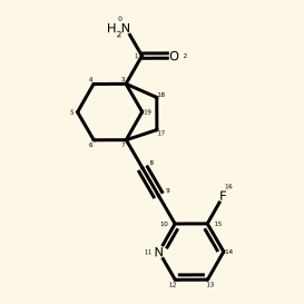 NC(=O)C12CCCC(C#Cc3ncccc3F)(CC1)C2